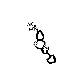 N#CCNc1ccc2c(c1)OCc1cc(-c3ccccc3)nn1C2